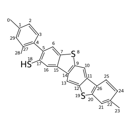 Cc1ccc(-c2cc3sc4cc5c(cc4c3cc2S)sc2cc(C)ccc25)c(C)c1